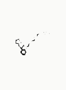 COCCOCCOCCn1cc(CC2CCCN2)c2ccc(F)cc21